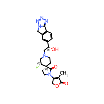 CC1=C(N2CC[C@]3(CCN(C[C@@H](O)c4ccc5c(c4)Cn4nnnc4-5)C[C@H]3F)C2=O)COC1=O